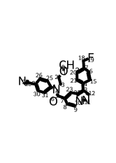 COCCN(C(=O)c1ccn2ncc(-c3ccc(CF)cc3)c2c1)c1ccc(C#N)cc1